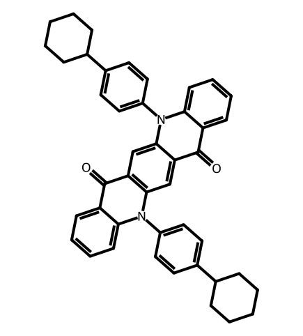 O=c1c2ccccc2n(-c2ccc(C3CCCCC3)cc2)c2cc3c(=O)c4ccccc4n(-c4ccc(C5CCCCC5)cc4)c3cc12